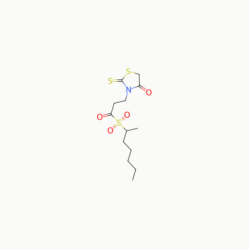 CCCCCC(C)S(=O)(=O)C(=O)CCN1C(=O)CSC1=S